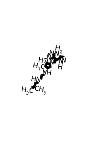 C/C=C(\C)CCNCCCNC[C@H]1C[C@@H](n2cc(-c3ccn[nH]3)c3c(N)ncnc32)[C@H](O)[C@@H]1C